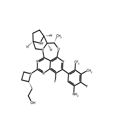 Cc1c(F)c(N)cc(-c2nc3c4c(nc(N5CC[C@H]5CCO)nc4c2F)N2C[C@H]4CC[C@H](N4)[C@H]2[C@H](C)O3)c1C(F)(F)F